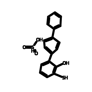 O=[SH](=O)O.Oc1c(S)cccc1-c1ccc(-c2ccccc2)cc1